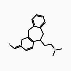 CN(C)CCC1Cc2ccccc2CC2=C1C=CC(=CF)C2